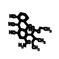 CCOC(=O)C(c1c(C(N)=O)cc(O)c2c1C(O)c1cccc(O)c1C2O)C(C)CC